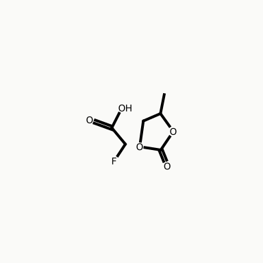 CC1COC(=O)O1.O=C(O)CF